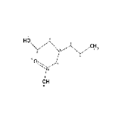 CCCC(CCO)CC(=O)O